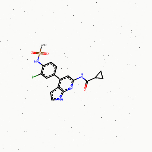 CCCCS(=O)(=O)Nc1ccc(-c2cc(NC(=O)C3CC3)nc3[nH]ccc23)cc1F